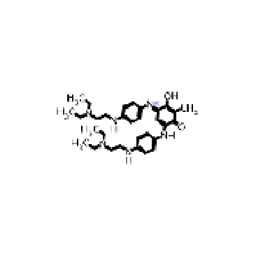 CCN(CC)CCNc1ccc(/N=C2\C=C(Nc3ccc(NCCN(CC)CC)cc3)C(=O)C(C)=C2O)cc1